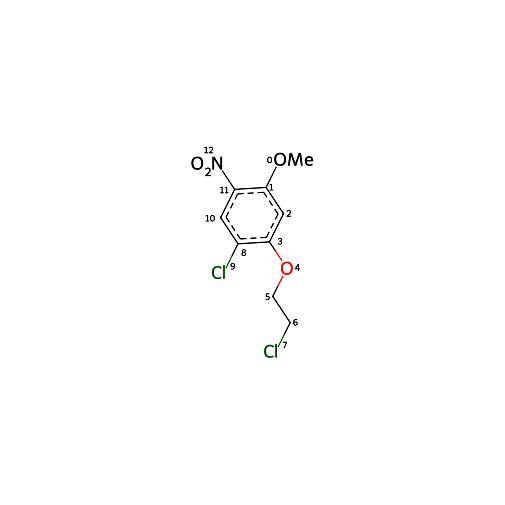 COc1cc(OCCCl)c(Cl)cc1[N+](=O)[O-]